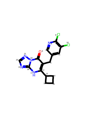 O=c1c(Cc2cnc(Cl)c(Cl)c2)c(C2CCC2)[nH]c2ncnn12